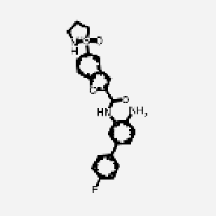 Nc1ccc(-c2ccc(F)cc2)cc1NC(=O)c1cc2cc([SH]3(=O)CCCN3)ccc2o1